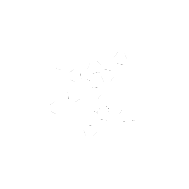 C[C@H]1C=CC(c2nc(C3=CC(c4ccc(-c5ccccc5)cc4)=C(n4c5ccc(C#N)cc5c5cc(C(C)(C)C)ccc54)C(C4(C)C=CC(C5C=CC=CC5)=CC4)C3)nc(-c3ccccc3)n2)=CC1